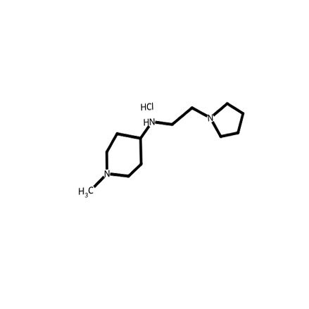 CN1CCC(NCCN2CCCC2)CC1.Cl